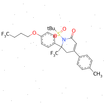 Cc1ccc(C2=CC(=O)N(S(=O)(=O)C(C)(C)C)C(c3ccc(OCCCC(F)(F)F)cc3)(C(F)(F)F)C2)cc1